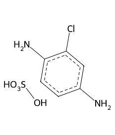 Nc1ccc(N)c(Cl)c1.O=S(=O)(O)O